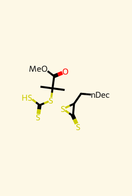 CCCCCCCCCCCC1SC1=S.COC(=O)C(C)(C)SC(=S)S